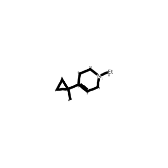 CCN1CC=C(C2(C)CC2)CC1